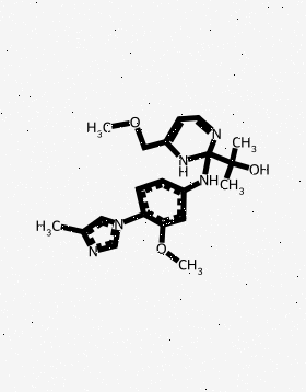 COCC1=CC=NC(Nc2ccc(-n3cnc(C)c3)c(OC)c2)(C(C)(C)O)N1